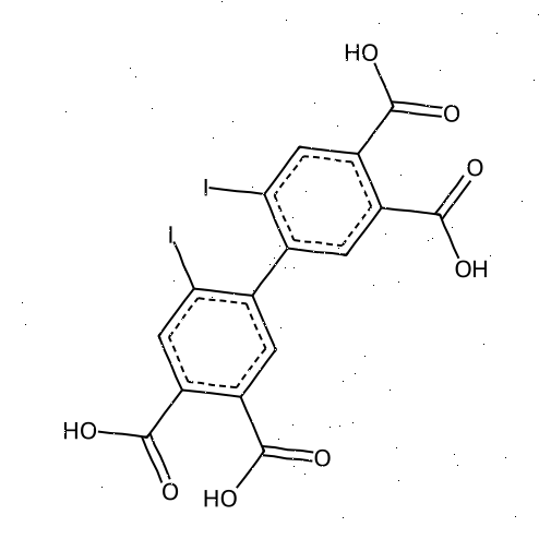 O=C(O)c1cc(I)c(-c2cc(C(=O)O)c(C(=O)O)cc2I)cc1C(=O)O